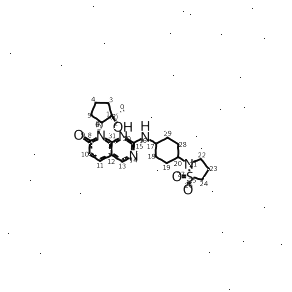 C[C@@]1(O)CCC[C@H]1n1c(=O)ccc2cnc(NC3CCC(N4CCCS4(=O)=O)CC3)nc21